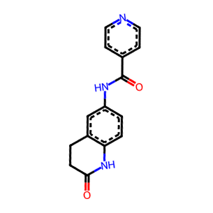 O=C1CCc2cc(NC(=O)c3ccncc3)ccc2N1